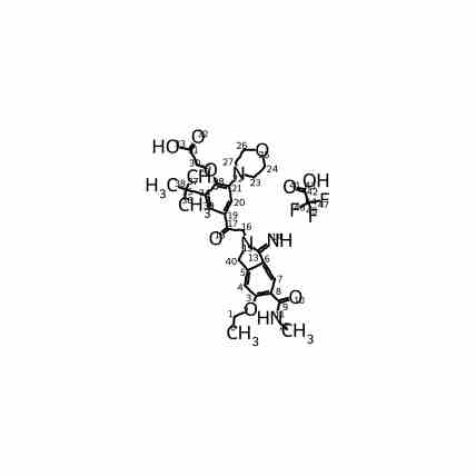 CCOc1cc2c(cc1C(=O)NC)C(=N)N(CC(=O)c1cc(N3CCOCC3)c(OCC(=O)O)c(C(C)(C)C)c1)C2.O=C(O)C(F)(F)F